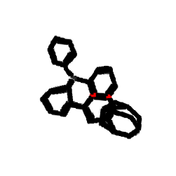 c1ccc(N(c2ccccc2)c2ccccc2-c2ccc3c(c2)C2CC4CC(CC3C4)C2)cc1